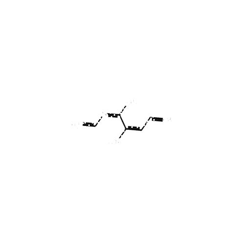 C=C/C=C(N)\C(C)=N/C=C